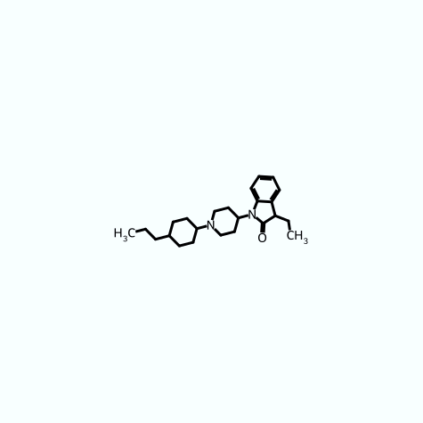 CCCC1CCC(N2CCC(N3C(=O)C(CC)c4ccccc43)CC2)CC1